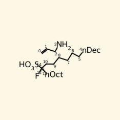 C=CCN.CCCCCCCCCCCCCCCCC(F)(CCCCCCCC)S(=O)(=O)O